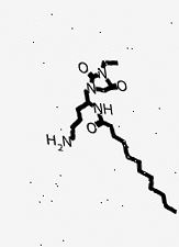 CCCCCCCCCCCC(=O)NC(CCCCN)CN1CC(=O)N(CC)C1=O